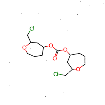 O=C(OC1CCCOC(CCl)C1)OC1CCCOC(CCl)C1